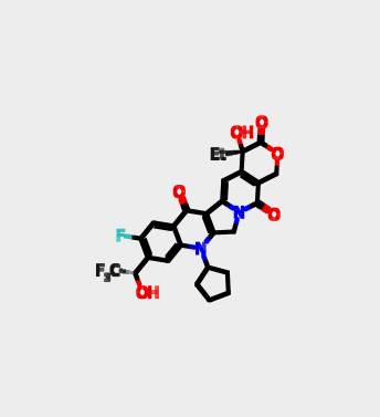 CC[C@@]1(O)C(=O)OCc2c1cc1n(c2=O)Cc2c-1c(=O)c1cc(F)c([C@H](O)C(F)(F)F)cc1n2C1CCCC1